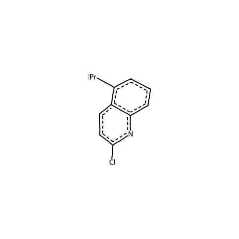 CC(C)c1cccc2nc(Cl)ccc12